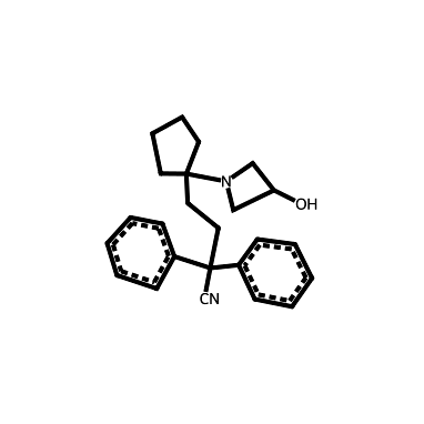 N#CC(CCC1(N2CC(O)C2)CCCC1)(c1ccccc1)c1ccccc1